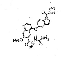 CCCNC(=O)n1ccc2cc(Oc3ccnc4cc(OC)c(C(=O)N(CCC)NC(N)=O)cc34)ccc21